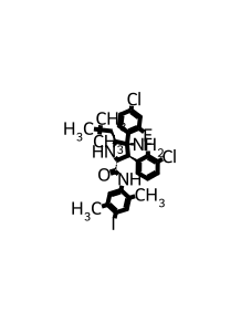 Cc1cc(NC(=O)[C@@H]2N[C@@H](CC(C)(C)C)[C@](N)(c3ccc(Cl)cc3F)[C@H]2c2cccc(Cl)c2F)c(C)cc1I